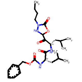 CCCCN1NC(C(=O)[C@H](CC(C)C)NC(=O)[C@H](CC(C)C)NC(=O)OCc2ccccc2)OC1=O